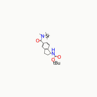 CN(C(=O)c1ccc2c(c1)CCC2NC(=O)OC(C)(C)C)[Si](C)(C)C